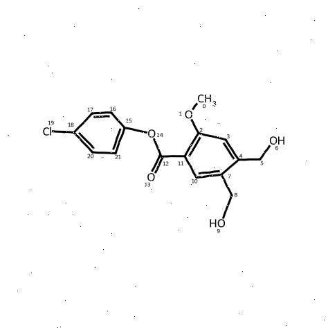 COc1cc(CO)c(CO)cc1C(=O)Oc1ccc(Cl)cc1